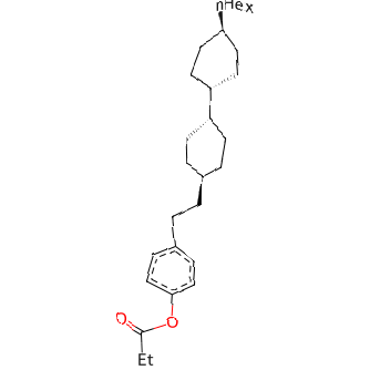 CCCCCC[C@H]1CC[C@H]([C@H]2CC[C@H](CCc3ccc(OC(=O)CC)cc3)CC2)CC1